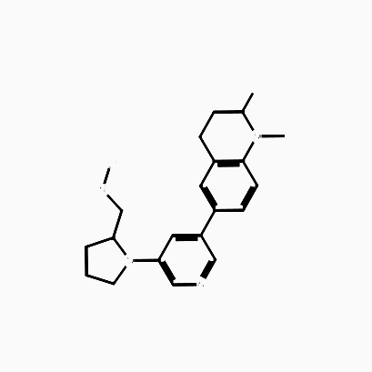 CCNCC1CCCN1c1cncc(-c2ccc3c(c2)CCC(C=O)N3C)c1